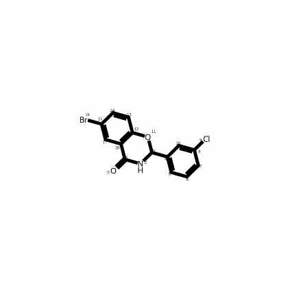 O=C1NC(c2cccc(Cl)c2)Oc2ccc(Br)cc21